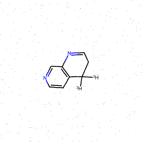 [2H]C1([2H])CC=Nc2cnccc21